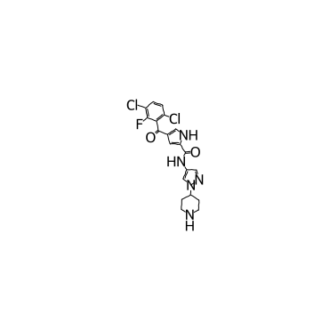 O=C(Nc1cnn(C2CCNCC2)c1)c1cc(C(=O)c2c(Cl)ccc(Cl)c2F)c[nH]1